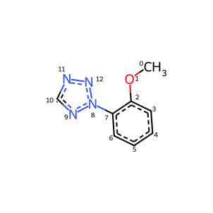 COc1ccccc1-n1n[c]nn1